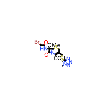 CO[C@@]1(NC(=O)CBr)C(=O)N2C(C(=O)O)=C(CSc3nnnn3C)CSC21